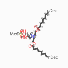 CCCCCCCCCCCCCCCCCC(=O)OCC[N+](C)(CCO)CCOC(=O)CCCCCCCCCCCCCCCCC.COS([O-])(O)O